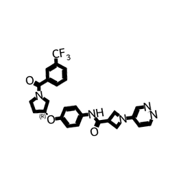 O=C(Nc1ccc(O[C@@H]2CCN(C(=O)c3cccc(C(F)(F)F)c3)C2)cc1)C1CN(c2ccnnc2)C1